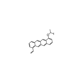 C=Cc1cccc2cc3cc4c(OC(C)I)cccc4cc3cc12